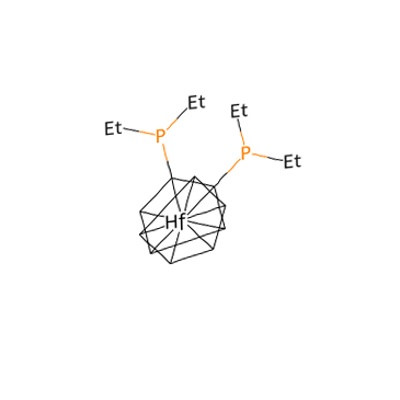 CCP(CC)[C]12[CH]3[CH]4[CH]5[C]1(P(CC)CC)[Hf]43521678[CH]2[CH]1[CH]6[CH]7[CH]28